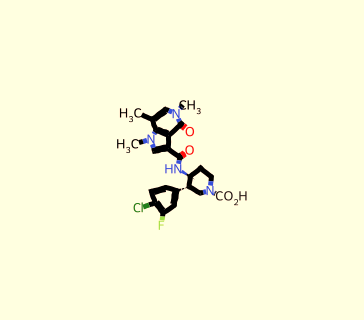 Cc1cn(C)c(=O)c2c(C(=O)N[C@H]3CCN(C(=O)O)C[C@@H]3c3ccc(Cl)c(F)c3)cn(C)c12